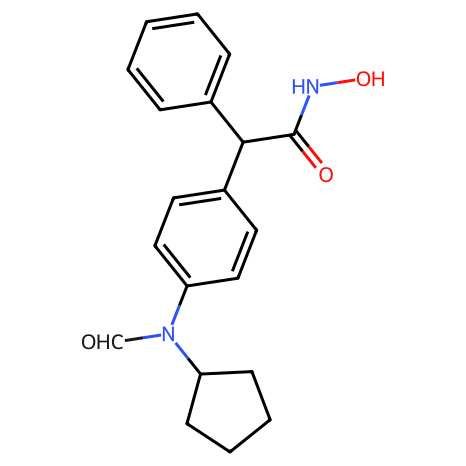 O=CN(c1ccc(C(C(=O)NO)c2ccccc2)cc1)C1CCCC1